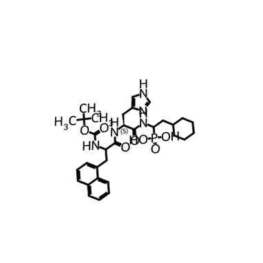 CC(C)(C)OC(=O)NC(Cc1cccc2ccccc12)C(=O)N[C@@H](Cc1c[nH]cn1)C(=O)NC(CC1CCCCC1)P(=O)(O)O